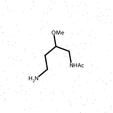 COC(CCN)CNC(C)=O